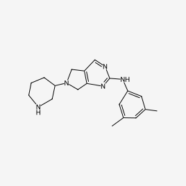 Cc1cc(C)cc(Nc2ncc3c(n2)CN(C2CCCNC2)C3)c1